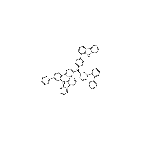 c1ccc(-c2ccc(-c3ccc(N(c4ccc(-c5cccc6c5oc5ccccc56)cc4)c4cccc(-c5ccccc5-c5ccccc5)c4)cc3)c(-n3c4ccccc4c4ccccc43)c2)cc1